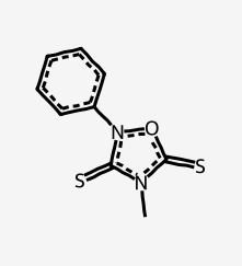 Cn1c(=S)on(-c2ccccc2)c1=S